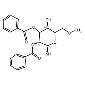 COCC1O[C@@H](S)[C@@H](OC(=O)c2ccccc2)C(OC(=O)c2ccccc2)[C@H]1O